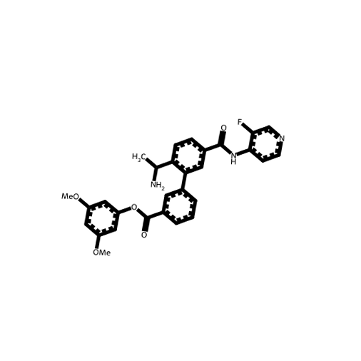 COc1cc(OC)cc(OC(=O)c2cccc(-c3cc(C(=O)Nc4ccncc4F)ccc3C(C)N)c2)c1